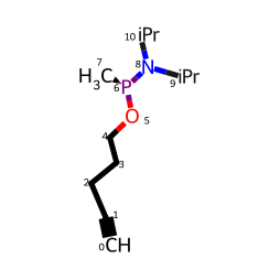 C#CCCCO[P@@](C)N(C(C)C)C(C)C